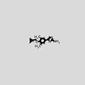 Cc1cc(-c2csc(N)n2)cc(C)c1OCC1CC1